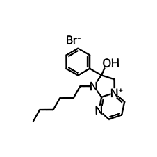 CCCCCCN1c2nccc[n+]2CC1(O)c1ccccc1.[Br-]